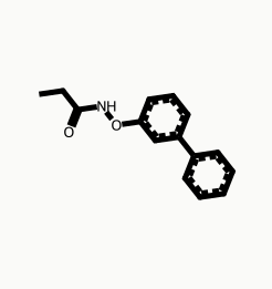 CCC(=O)NOc1cccc(-c2ccccc2)c1